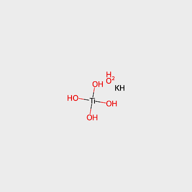 O.[KH].[OH][Ti]([OH])([OH])[OH]